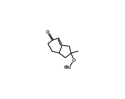 CC(C)(C)OC1(C)CC2=CC(=O)CCC2C1